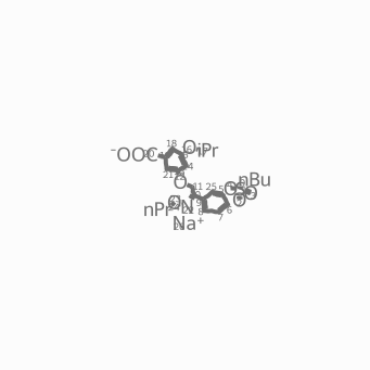 CCCCS(=O)(=O)Oc1cccc(C(COc2cc(OC(C)C)cc(C(=O)[O-])c2)=NOCCC)c1.[Na+]